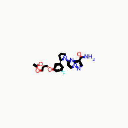 C=C1OCC(COc2cc(F)cc([C@H]3CCCN3c3ccn4ncc(C(N)=O)c4n3)c2)O1